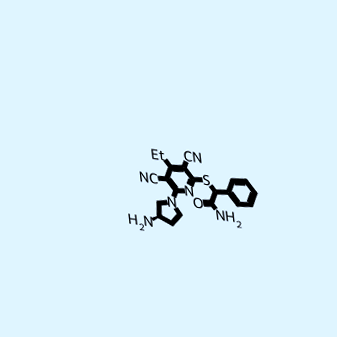 CCc1c(C#N)c(SC(C(N)=O)c2ccccc2)nc(N2CC[C@@H](N)C2)c1C#N